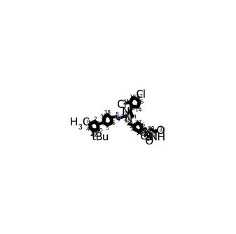 Cc1cc(-c2ccc(/C=C/c3nc(-c4ccc(Cl)cc4Cl)cn3Cc3ccc(N4CC(=O)NS4(=O)=O)cc3)cc2)cc(C(C)(C)C)c1